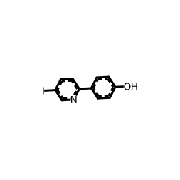 Oc1ccc(-c2ccc(I)cn2)cc1